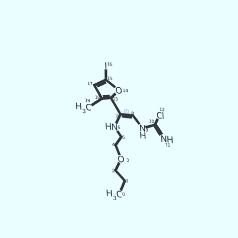 CCCOCCN/C(=C\NC(=N)Cl)c1oc(I)cc1C